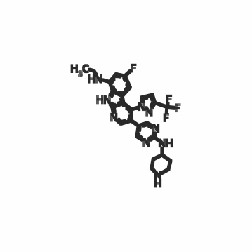 CCNc1cc(F)cc2c1[nH]c1ncc(-c3cnc(NC4CCNCC4)nc3)c(-n3ccc(C(F)(F)F)n3)c12